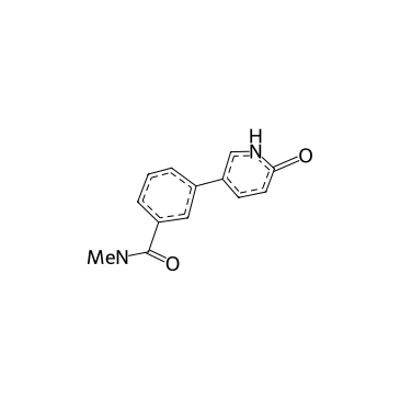 CNC(=O)c1cccc(-c2ccc(=O)[nH]c2)c1